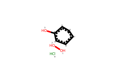 Cl.OO.Oc1ccccc1